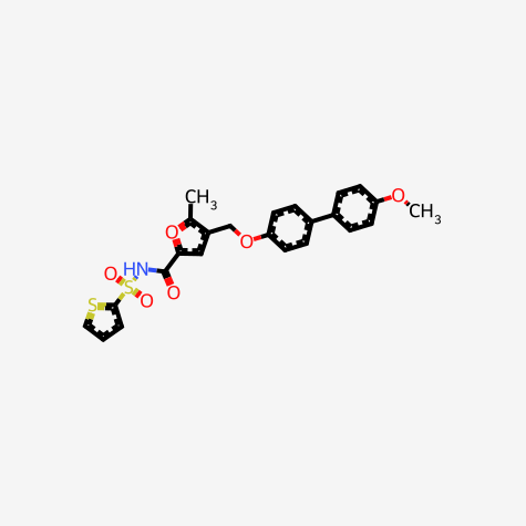 COc1ccc(-c2ccc(OCc3cc(C(=O)NS(=O)(=O)c4cccs4)oc3C)cc2)cc1